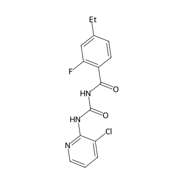 CCc1ccc(C(=O)NC(=O)Nc2ncccc2Cl)c(F)c1